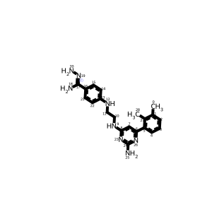 Cc1cccc(-c2cc(NCCNc3ccc(/C(N)=N/N)cc3)nc(N)n2)c1C